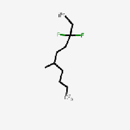 CC(C)CC(F)(F)CCC(C)CCCC(F)(F)F